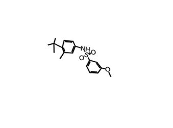 COc1cccc(S(=O)(=O)Nc2ccc(C(C)(C)C)c(C)c2)c1